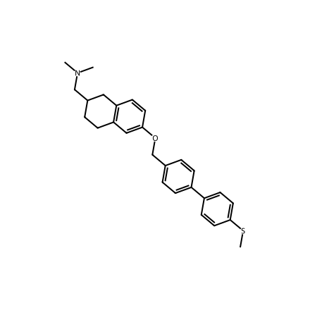 CSc1ccc(-c2ccc(COc3ccc4c(c3)CCC(CN(C)C)C4)cc2)cc1